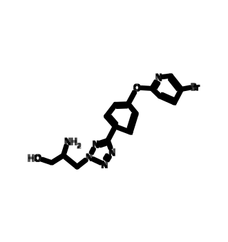 NC(CO)Cn1nnc(-c2ccc(Oc3ccc(Br)cn3)cc2)n1